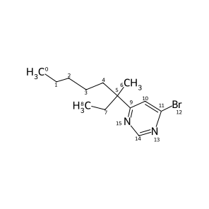 CCCCCC(C)(CC)c1cc(Br)ncn1